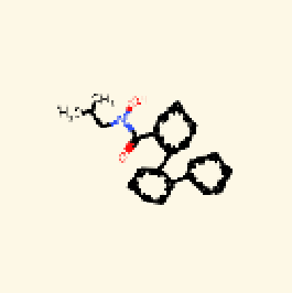 CC(C)CN(O)C(=O)c1ccccc1-c1ccccc1-c1ccccc1